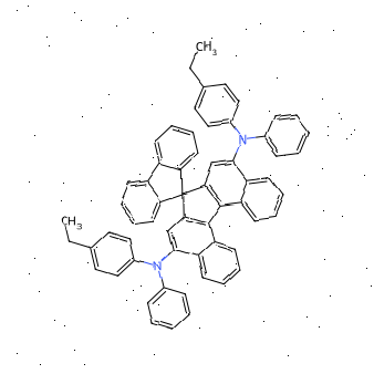 CCc1ccc(N(c2ccccc2)c2cc3c(c4ccccc24)-c2c(cc(N(c4ccccc4)c4ccc(CC)cc4)c4ccccc24)C32c3ccccc3-c3ccccc32)cc1